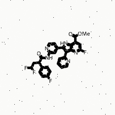 COC(=O)c1cc(F)nc2c(-c3ccccn3)c(-c3ccnc(NC(=O)C(CC(F)F)c4ccc(F)cc4)c3)[nH]c12